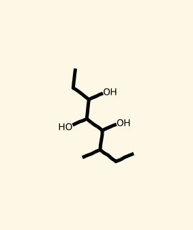 CCC(C)C(O)C(O)C(O)CC